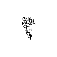 O=C(c1c(F)ccc(NSc2ccc(C(F)(F)F)cc2)c1F)c1c[nH]c2ncnc(N3CCOCC3)c12